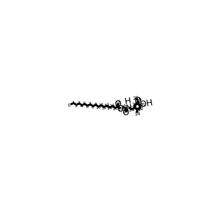 CCCCCCCCCCCCCCCCCC(=O)OCC(=O)NCc1cc(OC)c(O)cc1C